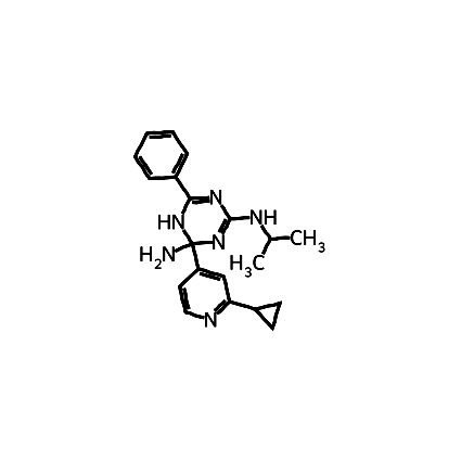 CC(C)NC1=NC(N)(c2ccnc(C3CC3)c2)NC(c2ccccc2)=N1